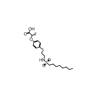 CCCCCCCCS(=O)(=O)NCCSc1ccc(OC(F)C(=O)O)cc1